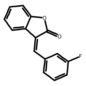 O=C1Oc2ccccc2C1=Cc1cccc(F)c1